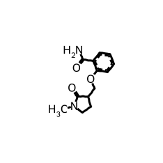 CN1CCC(COc2ccccc2C(N)=O)C1=O